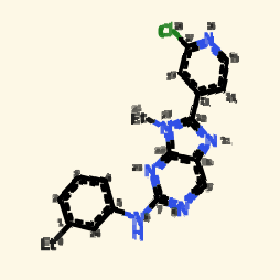 CCc1cccc(Nc2ncc3nc(-c4ccnc(Cl)c4)n(CC)c3n2)c1